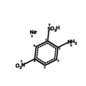 Nc1ccc([N+](=O)[O-])cc1S(=O)(=O)O.[Na]